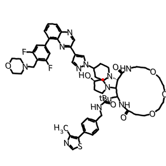 Cc1ncsc1-c1ccc(CNC(=O)[C@@H]2C[C@@H](O)CN2C2C(C(C)(C)C)NC(=O)CCOCCOCCOCCNC(=O)[C@H]2N2CCC(n3cc(-c4cnc5cccc(-c6cc(F)c(CN7CCOCC7)c(F)c6)c5n4)cn3)CC2)cc1